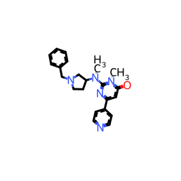 CN(c1nc(-c2ccncc2)cc(=O)n1C)C1CCN(Cc2ccccc2)C1